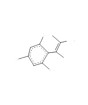 CCC(C)c1cc([N+](=O)[O-])cc([N+](=O)[O-])c1C(C)=C(C)C(=O)O